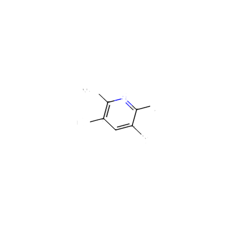 COc1nc(C)c(N=O)cc1C